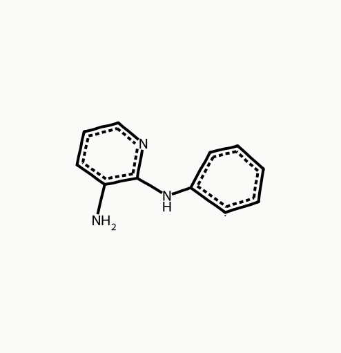 Nc1cccnc1Nc1[c]cccc1